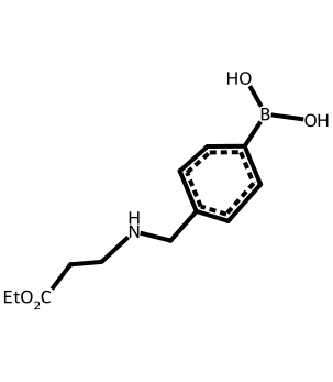 CCOC(=O)CCNCc1ccc(B(O)O)cc1